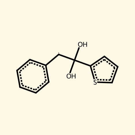 OC(O)([CH]c1ccccc1)c1cccs1